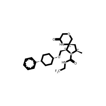 C[C@@H]1C[C@@]2(COCC(=O)N2)[C@H](CO[C@H]2CC[C@@H](c3ccccc3)CC2)N1C(=O)NCC(F)(F)F